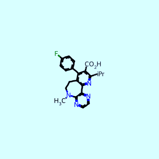 CC(C)c1nc2c(c(-c3ccc(F)cc3)c1C(=O)O)CCN(C)c1nccnc1-2